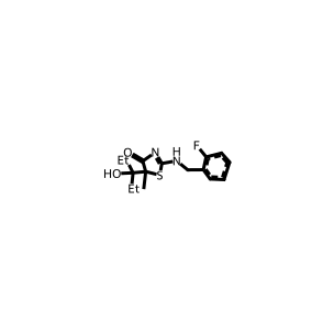 CCC(O)(CC)C1(C)SC(NCc2ccccc2F)=NC1=O